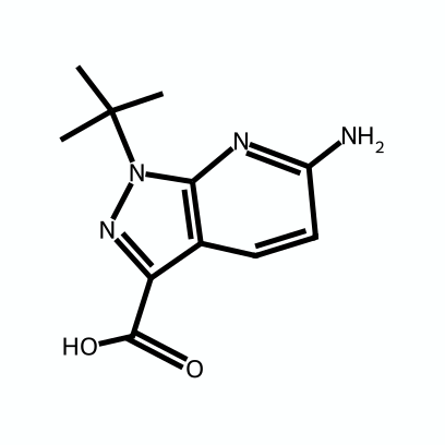 CC(C)(C)n1nc(C(=O)O)c2ccc(N)nc21